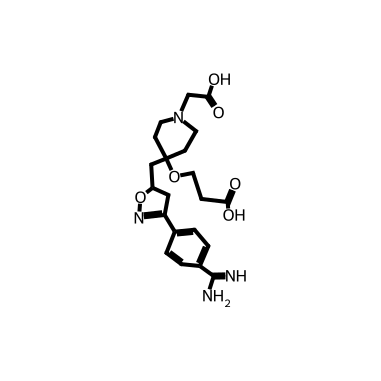 N=C(N)c1ccc(C2=NOC(CC3(OCCC(=O)O)CCN(CC(=O)O)CC3)C2)cc1